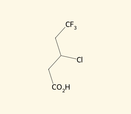 O=C(O)CC(Cl)CC(F)(F)F